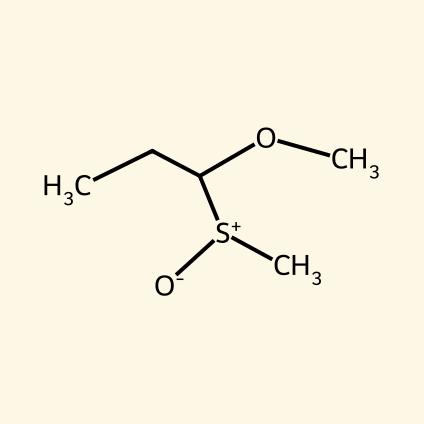 CCC(OC)[S+](C)[O-]